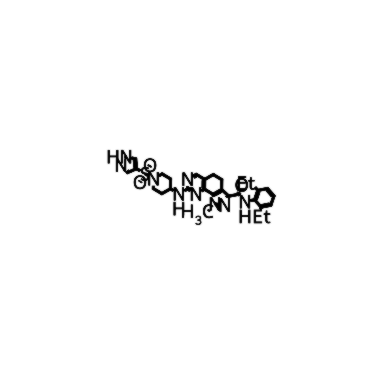 CCc1cccc(CC)c1NC(=O)c1nn(C)c2c1CCc1cnc(NC3CCN(S(=O)(=O)c4cn[nH]c4)CC3)nc1-2